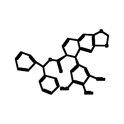 COc1cc([C@@H]2c3cc4c(cc3C=C[C@@H]2C(=O)OC(c2ccccc2)c2ccccc2)OCO4)cc(OC)c1OC